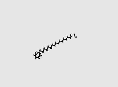 CCCCCCCCCCCCCCCCCN1C=CC=CO1